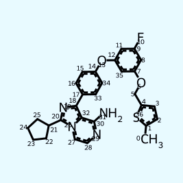 Cc1ccc(COc2cc(F)cc(Oc3ccc(-c4nc(C5CCCC5)n5ccnc(N)c45)cc3)c2)s1